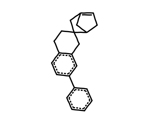 C1=C2CC(C1)C1(CCc3ccc(-c4ccccc4)cc3C1)C2